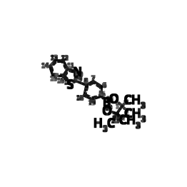 CC1(C)OB(c2ccc(-c3nc4ccccc4s3)cc2)OC1(C)C